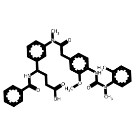 COc1cc(CC(=O)N(C)c2cccc(C(CCC(=O)O)NC(=O)c3ccccc3)c2)ccc1NC(=O)N(C)c1ccccc1C